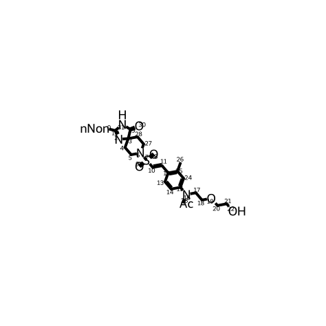 CCCCCCCCCC1=NC2(CCN(S(=O)(=O)C=Cc3ccc(N(CCOCCO)C(C)=O)cc3C)CC2)C(=O)N1